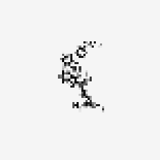 CO[C@H]1CC[C@H](Oc2ncccc2Nc2ncnc3sc(C(=O)NCCCN(C)C)c(C)c23)CC1